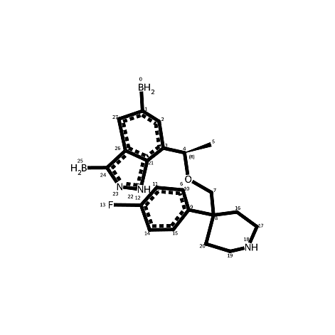 Bc1cc([C@@H](C)OCC2(c3ccc(F)cc3)CCNCC2)c2[nH]nc(B)c2c1